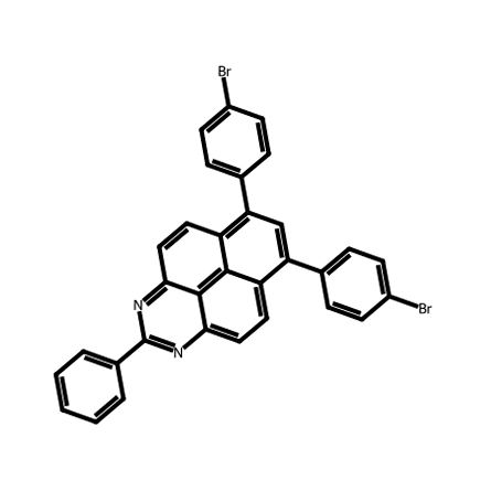 Brc1ccc(-c2cc(-c3ccc(Br)cc3)c3ccc4nc(-c5ccccc5)nc5ccc2c3c54)cc1